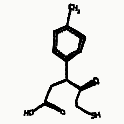 Cc1ccc(C(CC(=O)O)C(=O)CS)cc1